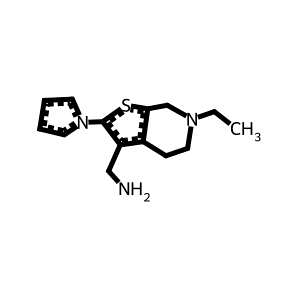 CCN1CCc2c(sc(-n3cccc3)c2CN)C1